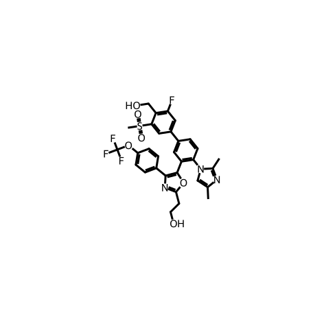 Cc1cn(-c2ccc(-c3cc(F)c(CO)c(S(C)(=O)=O)c3)cc2-c2oc(CCO)nc2-c2ccc(OC(F)(F)F)cc2)c(C)n1